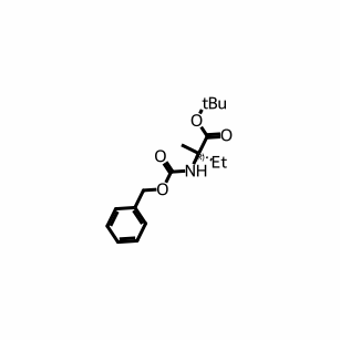 CC[C@@](C)(NC(=O)OCc1ccccc1)C(=O)OC(C)(C)C